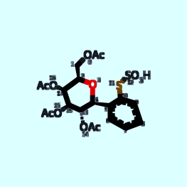 CC(=O)OC[C@H]1O[C@@H](c2ccccc2SS(=O)(=O)O)[C@H](OC(C)=O)[C@@H](OC(C)=O)[C@H]1OC(C)=O